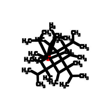 CC(C)C1(C)C(C)C(C)C12C(C)C(C)(C(C)C)C21C(C)C(C)(C(C)C)C12C(C)C(C)(C(C)C)C21C(C)C1(C)C(C)C